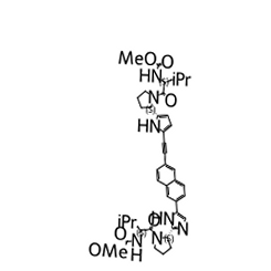 COC(=O)N[C@H](C(=O)N1CCC[C@H]1c1ccc(C#Cc2ccc3cc(-c4cnc([C@@H]5CCCN5C(=O)[C@@H](NC(=O)OC)C(C)C)[nH]4)ccc3c2)[nH]1)C(C)C